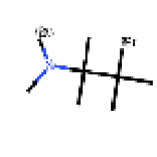 CCC(C)N(C)C(C)(C)C(C)(C)C(C)C